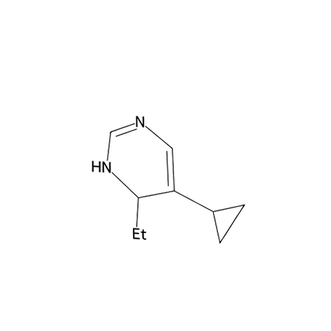 CCC1NC=NC=C1C1CC1